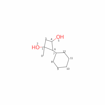 CC1(O)CC(O)C1C1CCCCC1